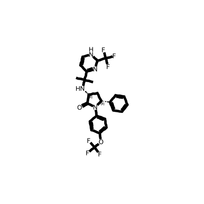 CC(C)(N[C@@H]1C[C@H](c2ccccc2)N(c2ccc(OC(F)(F)F)cc2)C1=O)C1=NC(C(F)(F)F)NC=C1